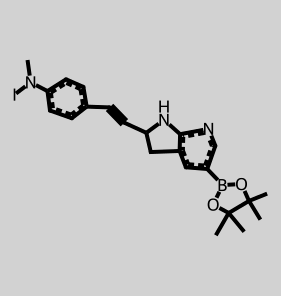 CN(I)c1ccc(C#CC2Cc3cc(B4OC(C)(C)C(C)(C)O4)cnc3N2)cc1